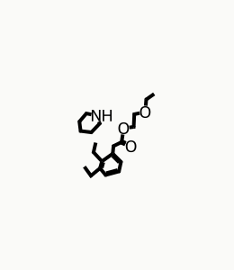 C1CCNCC1.CCOCCOC(=O)Cc1cccc(CC)c1CC